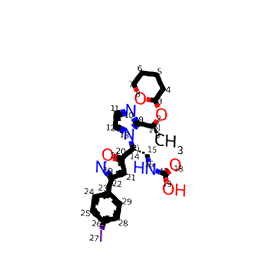 C[C@H](OC1CCCCO1)c1nccn1[C@H](CNC(=O)O)c1cc(-c2ccc(I)cc2)no1